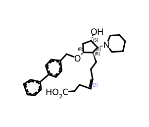 O=C(O)CC/C=C\CC[C@@H]1[C@@H](N2CCCCC2)[C@@H](O)C[C@H]1OCc1ccc(-c2ccccc2)cc1